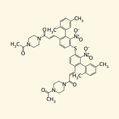 CC(=O)N1CCN(C(=O)/C=C/c2ccc(Sc3ccc(/C=C/C(=O)N4CCN(C(C)=O)CC4)c(-c4cc(C)ccc4C)c3[N+](=O)[O-])c([N+](=O)[O-])c2-c2cc(C)ccc2C)CC1